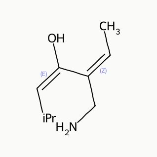 C/C=C(CN)\C(O)=C/C(C)C